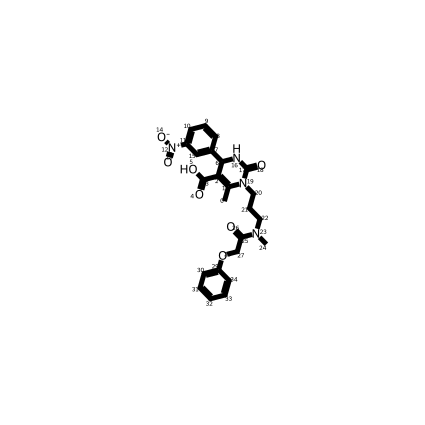 CC1=C(C(=O)O)C(c2cccc([N+](=O)[O-])c2)NC(=O)N1CCCN(C)C(=O)COc1ccccc1